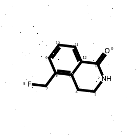 O=C1NCCc2c(CF)cccc21